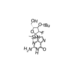 C[SiH](C)[C@@]1(n2cnc3c(=O)[nH]c(N)nc32)O[C@H](CO)[C@@H](OC(C)(C)C)[C@H]1F